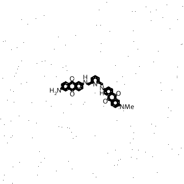 CNc1ccc2c(c1)C(=O)c1ccc(NCc3cccc(CNc4ccc5c(c4)C(=O)c4ccc(N)cc4C5=O)n3)cc1C2=O